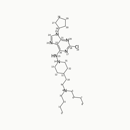 CCCCN(CCCC)CCC1CCN(Nc2nc(Cl)nc3c2ncn3C2CCCC2)CC1